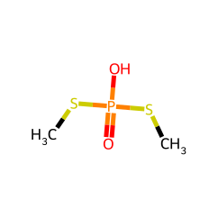 CSP(=O)(O)SC